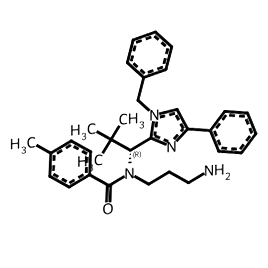 Cc1ccc(C(=O)N(CCCN)[C@@H](c2nc(-c3ccccc3)cn2Cc2ccccc2)C(C)(C)C)cc1